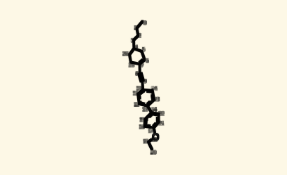 CCCCC1CC=C(C#Cc2ccc(-c3ccc(OCC)cc3)cc2)CC1